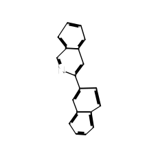 c1ccc2cc(-c3cc4ccccc4cn3)ccc2c1